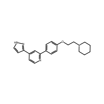 c1cc(-c2cc[nH]n2)cc(-c2ccc(OCCN3CCCCC3)cc2)n1